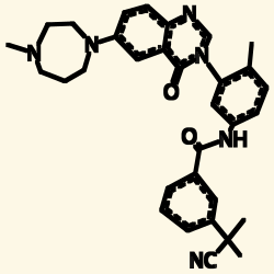 Cc1ccc(NC(=O)c2cccc(C(C)(C)C#N)c2)cc1-n1cnc2ccc(N3CCCN(C)CC3)cc2c1=O